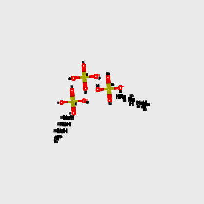 O=S(=O)([O-])[O-].O=S(=O)([O-])[O-].O=S(=O)([O-])[O-].[Al+3].[Al+3].[NaH].[NaH].[NaH].[NaH].[NaH].[NaH]